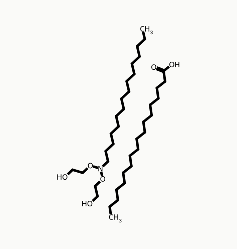 CCCCCCCCCCCCCCCCCC(=O)O.CCCCCCCCCCCCCCCCN(OCCO)OCCO